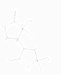 CC1OC(C)(C)CC1C1CCC(C)C1(C)C